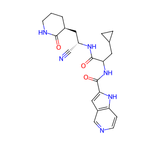 N#C[C@H](C[C@@H]1CCCNC1=O)NC(=O)C(CC1CC1)NC(=O)c1cc2cnccc2[nH]1